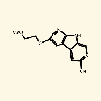 COCCOc1cnc2[nH]c3cnc(C#N)cc3c2c1